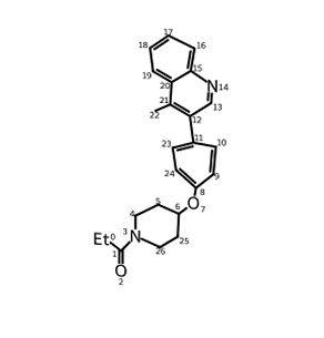 CCC(=O)N1CCC(Oc2ccc(-c3cnc4ccccc4c3C)cc2)CC1